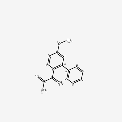 C=C(C(N)=O)c1ccc(OC)cc1-c1ccccc1